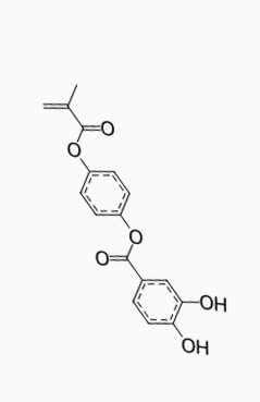 C=C(C)C(=O)Oc1ccc(OC(=O)c2ccc(O)c(O)c2)cc1